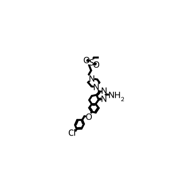 CCS(=O)(=O)CCCN1CCN(c2nc(N)nc3c2CCc2cc(OCc4ccc(Cl)cc4)ccc2-3)CC1